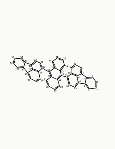 c1ccc2c(c1)-c1cccc3c(-c4c5ccccc5c(-c5ccc6c7c(cccc57)-c5ccccc5-6)c5ccccc45)ccc-2c13